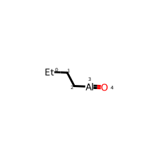 CCC[CH2][Al]=[O]